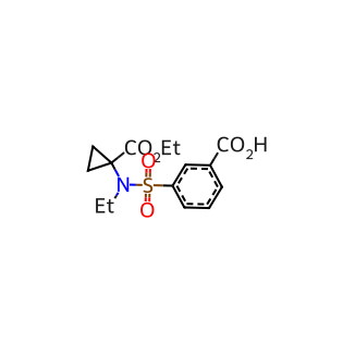 CCOC(=O)C1(N(CC)S(=O)(=O)c2cccc(C(=O)O)c2)CC1